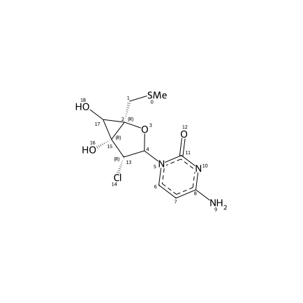 CSC[C@]12OC(n3ccc(N)nc3=O)[C@H](Cl)[C@@]1(O)C2O